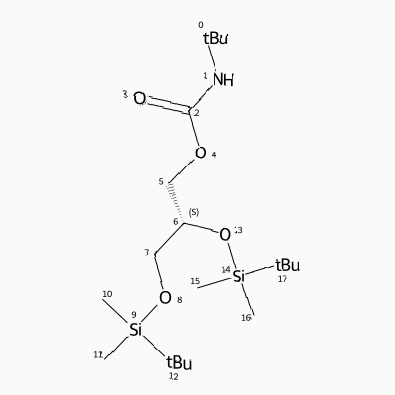 CC(C)(C)NC(=O)OC[C@@H](CO[Si](C)(C)C(C)(C)C)O[Si](C)(C)C(C)(C)C